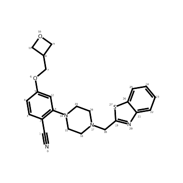 N#Cc1ccc(OCC2COC2)cc1N1CCN(Cc2nc3ccccc3s2)CC1